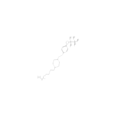 CCCCCC1CCC(CCc2ccc(OC(F)(F)C(F)(F)F)cc2)CC1